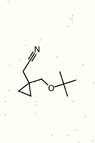 CC(C)(C)OCC1(CC#N)CC1